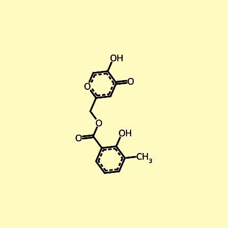 Cc1cccc(C(=O)OCc2cc(=O)c(O)co2)c1O